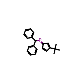 CC(C)(C)C1=CC(=PC(c2ccccc2)c2ccccc2)C=C1